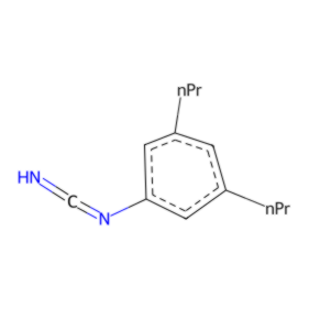 CCCc1cc(CCC)cc(N=C=N)c1